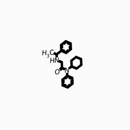 CC(NCC(=O)N(c1ccccc1)C1CCCCC1)c1ccccc1